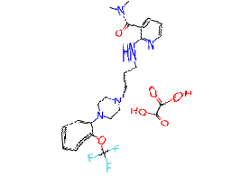 CN(C)C(=O)c1cccnc1NCCCN1CCN(c2ccccc2OC(F)(F)F)CC1.O=C(O)C(=O)O